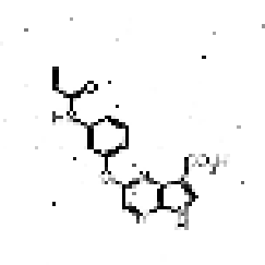 C=CC(=O)Nc1cccc(Oc2cnc3[nH]cc(C(=O)O)c3n2)c1